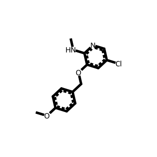 CNc1ncc(Cl)cc1OCc1ccc(OC)cc1